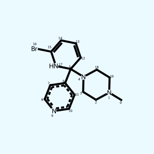 CN1CCN(C2(c3ccncc3)C=CC=C(Br)N2)CC1